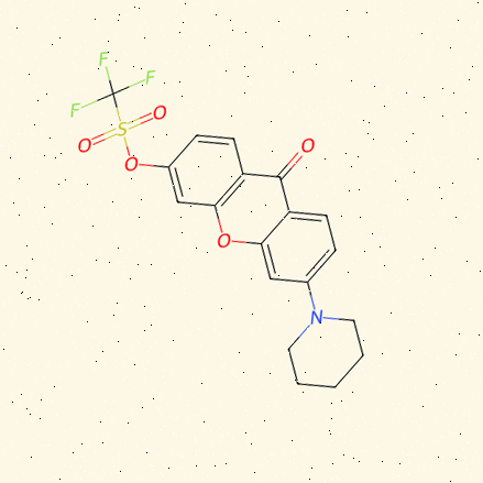 O=c1c2ccc(OS(=O)(=O)C(F)(F)F)cc2oc2cc(N3CCCCC3)ccc12